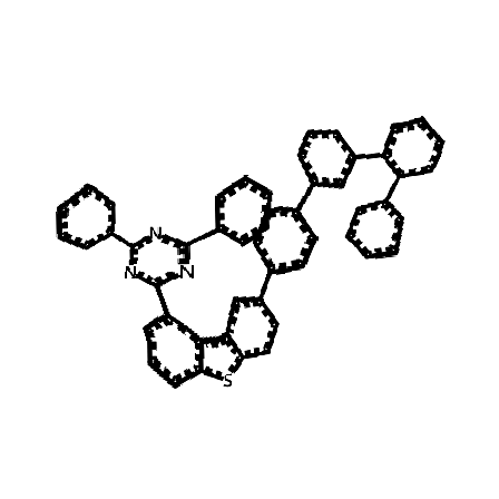 c1ccc(-c2nc(-c3ccccc3)nc(-c3cccc4sc5ccc(-c6ccc(-c7cccc(-c8ccccc8-c8ccccc8)c7)cc6)cc5c34)n2)cc1